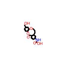 O=C(O)Nc1ccc2c(c1)CCCOc1cc(CO)ccc1OC2=O